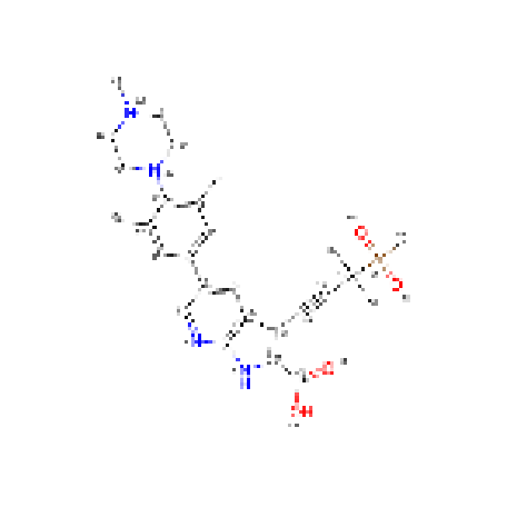 Cc1cc(-c2cnc3[nH]c(C(=O)O)c(C#CC(C)(C)S(C)(=O)=O)c3c2)cc(C)c1N1CCN(C)CC1